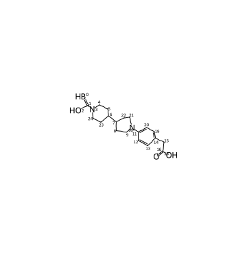 B=C(O)N1CCC(C2CCN(c3ccc(CC(=O)O)cc3)CC2)CC1